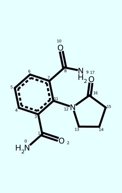 NC(=O)c1cccc(C(N)=O)c1N1CCCC1=O